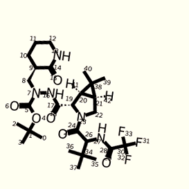 CC(C)(C)OC(=O)N(C[C@H]1CCCNC1=O)NC(=O)[C@@H]1[C@@H]2[C@H](CN1C(=O)C(NC(=O)C(F)(F)F)C(C)(C)C)C2(C)C